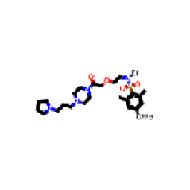 CCN(CCOCC(=O)N1CCN(CCCN2CCCC2)CC1)S(=O)(=O)c1c(C)cc(OC)cc1C